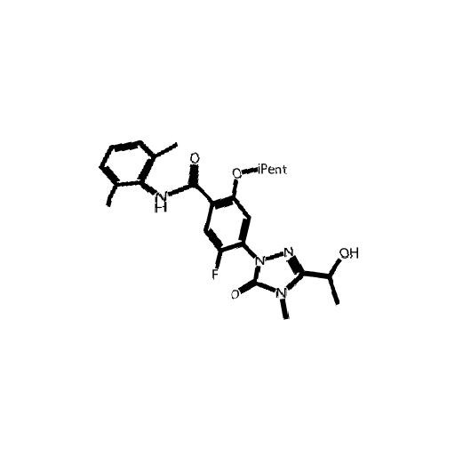 CCCC(C)Oc1cc(-n2nc(C(C)O)n(C)c2=O)c(F)cc1C(=O)Nc1c(C)cccc1C